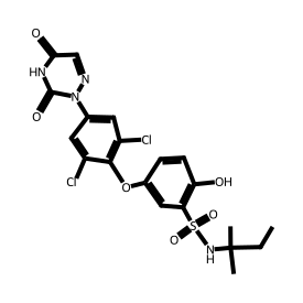 CCC(C)(C)NS(=O)(=O)c1cc(Oc2c(Cl)cc(-n3ncc(=O)[nH]c3=O)cc2Cl)ccc1O